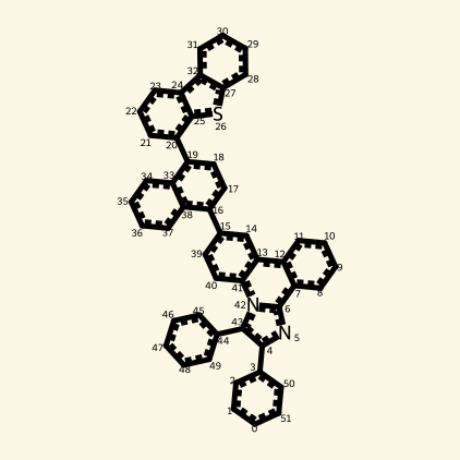 c1ccc(-c2nc3c4ccccc4c4cc(-c5ccc(-c6cccc7c6sc6ccccc67)c6ccccc56)ccc4n3c2-c2ccccc2)cc1